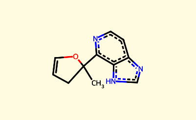 CC1(c2nccc3nc[nH]c23)CC=CO1